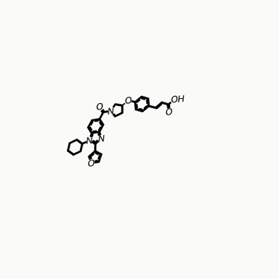 O=C(O)/C=C/c1ccc(O[C@H]2CCN(C(=O)c3ccc4c(c3)nc(-c3ccoc3)n4C3CCCCC3)C2)cc1